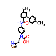 Cc1ccc(-c2cc(C)ccc2C(=O)Nc2ccc(N(CCc3cscn3)C(=O)O)cc2)cc1